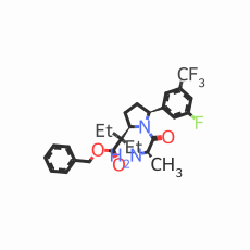 CCC(CC)(C(=O)OCc1ccccc1)[C@H]1CC[C@@H](c2cc(F)cc(C(F)(F)F)c2)N1C(=O)[C@@H](C)N